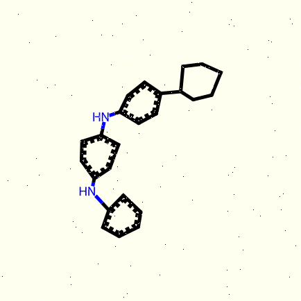 c1ccc(Nc2ccc(Nc3ccc(C4CCCCC4)cc3)cc2)cc1